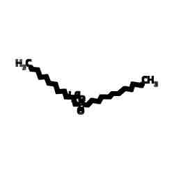 CCCCCCCCCCCCP(=O)(CCCCCCCCCCCC)OC